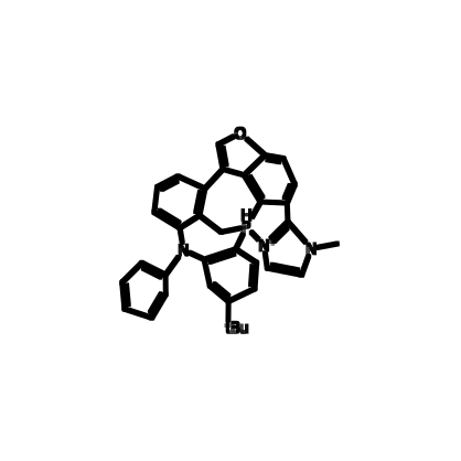 Cn1cc[n+]2c1-c1ccc3occ4c3c1[PH]21Cc2c-4cccc2N(c2ccccc2)c2cc(C(C)(C)C)ccc21